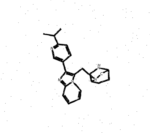 CC(C)c1ccc(-c2nc3ccccn3c2CN2CC3CCC2CN3)cn1